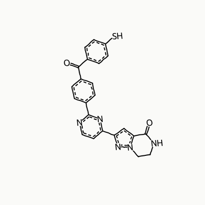 O=C(c1ccc(S)cc1)c1ccc(-c2nccc(-c3cc4n(n3)CCNC4=O)n2)cc1